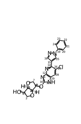 O[C@@H]1CO[C@H]2[C@@H]1OC[C@H]2Oc1nc2nc(-c3cnn(-c4ccccc4)c3)c(Cl)cc2[nH]1